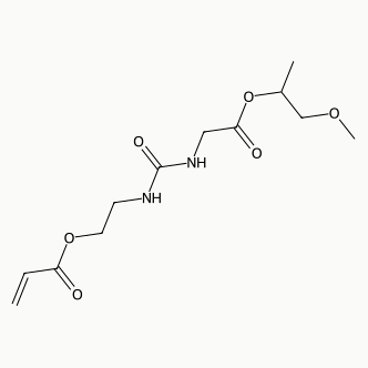 C=CC(=O)OCCNC(=O)NCC(=O)OC(C)COC